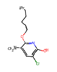 CC(C)CCCOc1nc(O)c(Cl)cc1[N+](=O)[O-]